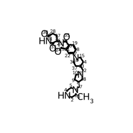 C[C@H]1CNCCN1C[C@H]1CCN(CC2CCN(c3ccc4c(c3)C(=O)N(C3CCC(=O)NC3=O)C4=O)CC2)C1